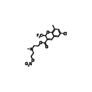 Cc1cc(Cl)cc2c1O[C@H](C(F)(F)F)C(C(=O)OCCN(C)CCO[N+](=O)[O-])=C2